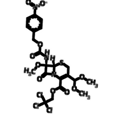 COC(OC)C1=C(C(=O)OCC(Cl)(Cl)Cl)N2C(=O)[C@](NC(=O)OCc3ccc([N+](=O)[O-])cc3)(OC)[C@@H]2SC1